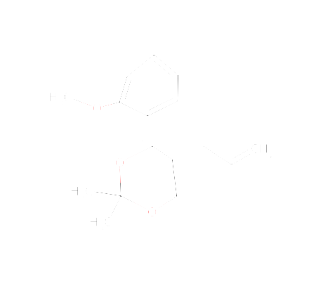 C=CC[C@@H]1COC(C)(C)O[C@@H]1c1ccccc1OC